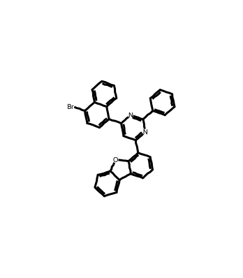 Brc1ccc(-c2cc(-c3cccc4c3oc3ccccc34)nc(-c3ccccc3)n2)c2ccccc12